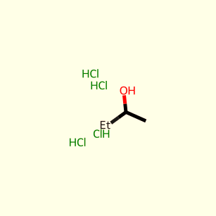 CCC(C)O.Cl.Cl.Cl.Cl